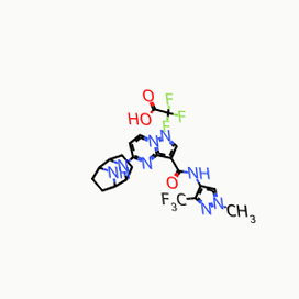 Cn1cc(NC(=O)c2cnn3ccc(N4C5CCC4C4CCC5N4)nc23)c(C(F)(F)F)n1.O=C(O)C(F)(F)F